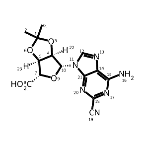 CC1(C)O[C@@H]2[C@H](O1)[C@@H](C(=O)O)O[C@H]2n1cnc2c(N)nc(C#N)nc21